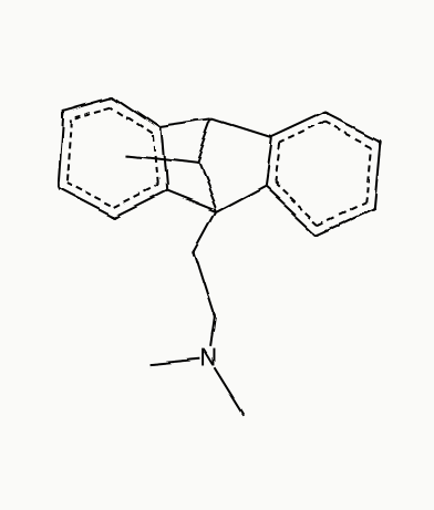 CC1C2c3ccccc3C1(CCN(C)C)c1ccccc12